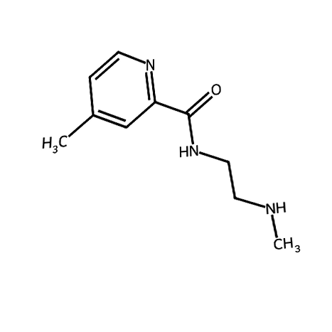 CNCCNC(=O)c1cc(C)ccn1